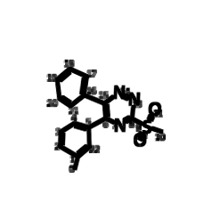 Cc1cccc(-c2nc(S(C)(=O)=O)nnc2-c2ccccc2)c1